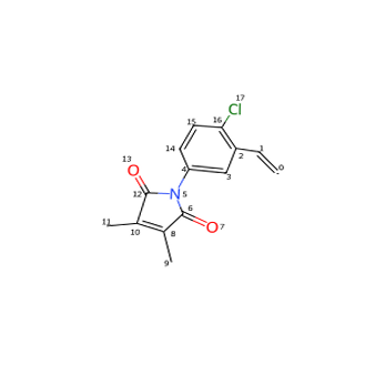 [CH]=Cc1cc(N2C(=O)C(C)=C(C)C2=O)ccc1Cl